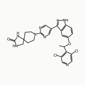 CC(Oc1ccc2[nH]nc(-c3cnc(N4CCC5(CC4)CNC(=O)N5)nc3)c2c1)c1c(Cl)cncc1Cl